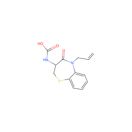 C=CCN1C(=O)C(NC(=O)O)CSc2ccccc21